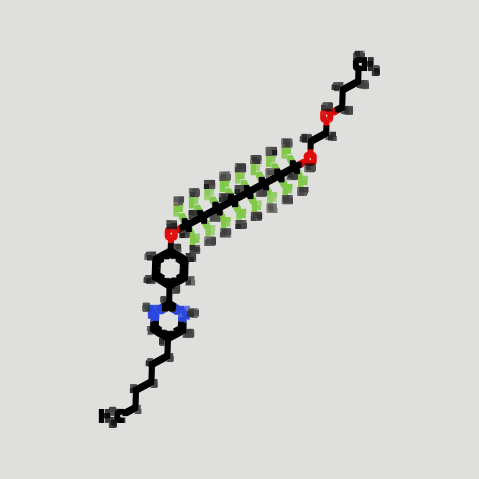 CCCCCCc1cnc(-c2ccc(OC(F)(F)C(F)(F)C(F)(F)C(F)(F)C(F)(F)C(F)(F)C(F)(F)C(F)(F)OCCOCCCC)cc2)nc1